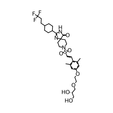 Cc1cc(OCCOC[C@@H](O)CO)cc(C)c1C=CS(=O)(=O)N1CCC2(CC1)N=C(C1CCC(CCC(F)(F)F)CC1)NC2=O